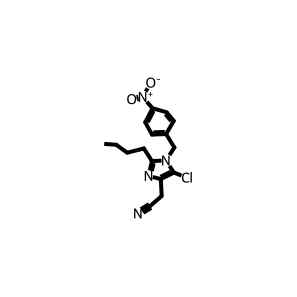 CCCCc1nc(CC#N)c(Cl)n1Cc1ccc([N+](=O)[O-])cc1